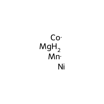 [Co].[MgH2].[Mn].[Ni]